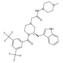 CN1CCN(NC(=O)CN2CCN(C(=O)c3cc(C(F)(F)F)cc(C(F)(F)F)c3)[C@H](Cc3c[nH]c4ccccc34)C2)CC1